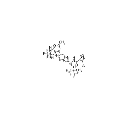 [2H]C1([2H])N([C@H](COC)c2cnn3cc([C@H](COC(C)(C)C(F)(F)F)NC(=O)c4nonc4C4CC4)nc3c2)C(=O)N[C@@]1([2H])C(F)(F)F